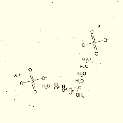 O.O.O.O.O.O.O.O.O.O.O=S(=O)([O-])[O-].O=S(=O)([O-])[O-].[Al+3].[K+]